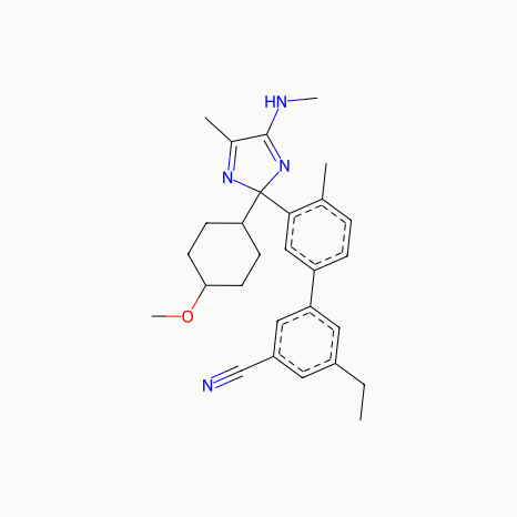 CCc1cc(C#N)cc(-c2ccc(C)c(C3(C4CCC(OC)CC4)N=C(C)C(NC)=N3)c2)c1